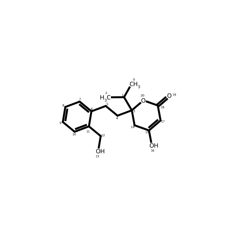 CC(C)C1(CCc2ccccc2CO)CC(O)=CC(=O)O1